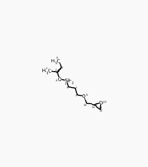 CCC(C)O[SiH2]CCCOCC1CO1